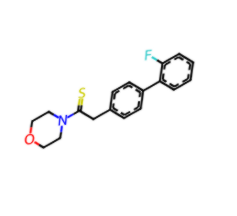 Fc1ccccc1-c1ccc(CC(=S)N2CCOCC2)cc1